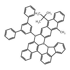 Cc1c2ccccc2c(C(C)(C)C)c2cc3c(cc12)B1c2c(cc4ccccc4c2-c2cccc4c5ccccc5n1c24)N3c1cc(-c2ccccc2)cc(-c2ccccc2)c1